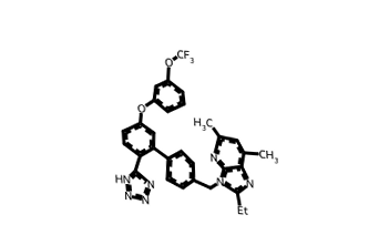 CCc1nc2c(C)cc(C)nc2n1Cc1ccc(-c2cc(Oc3cccc(OC(F)(F)F)c3)ccc2-c2nnn[nH]2)cc1